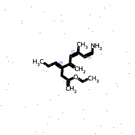 C=C(C/C(=C\CC)C(=C)/C=C(C)\C=C/N)OCC